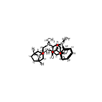 CC(C)n1nc(C(=O)N[C@@H]2C[C@H]3CC[C@@H](C2)N3CCN(C)C2CCS(=O)(=O)CC2)c2ccccc21